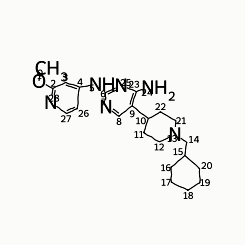 COc1cc(Nc2ncc(C3CCN(CC4CCCCC4)CC3)c(N)n2)ccn1